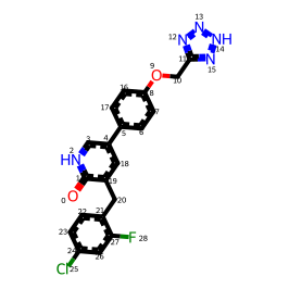 O=c1[nH]cc(-c2ccc(OCc3nn[nH]n3)cc2)cc1Cc1ccc(Cl)cc1F